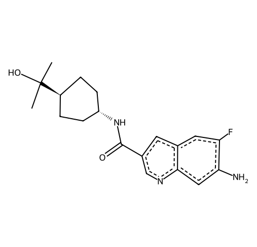 CC(C)(O)[C@H]1CC[C@H](NC(=O)c2cnc3cc(N)c(F)cc3c2)CC1